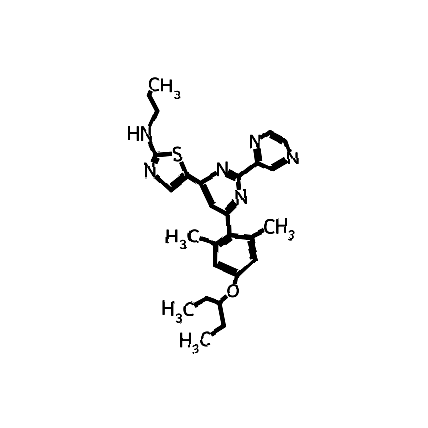 CCCNc1ncc(-c2cc(-c3c(C)cc(OC(CC)CC)cc3C)nc(-c3cnccn3)n2)s1